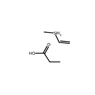 C=C[SiH2]C.CCC(=O)O